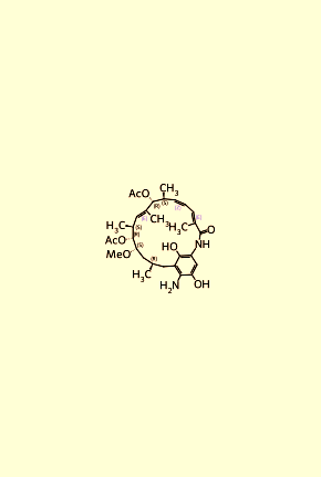 CO[C@H]1C[C@H](C)Cc2c(N)c(O)cc(c2O)NC(=O)/C(C)=C/C=C\[C@H](C)[C@@H](OC(C)=O)/C(C)=C/[C@H](C)[C@H]1OC(C)=O